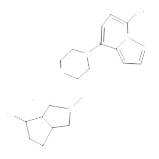 CC(C)C1CC[C@@H]2CN(C[C@H]3CN(c4ccc(C#N)n5nccc45)C[C@@H](C)O3)C[C@H]12